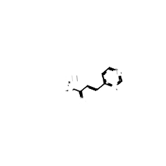 CN(C)C(=O)/C=C/c1ccncn1